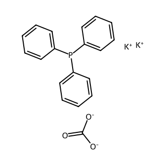 O=C([O-])[O-].[K+].[K+].c1ccc(P(c2ccccc2)c2ccccc2)cc1